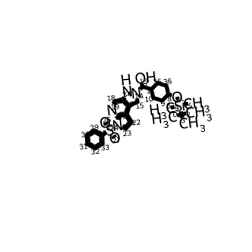 CC(C)(C)[Si](C)(C)OC1CCC(C(O)N2Cc3c(cnc4c3ccn4S(=O)(=O)c3ccccc3)N2)CC1